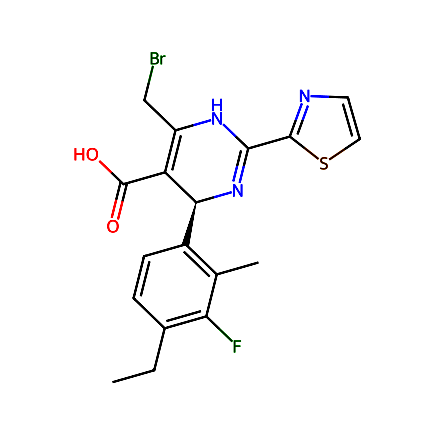 CCc1ccc([C@@H]2N=C(c3nccs3)NC(CBr)=C2C(=O)O)c(C)c1F